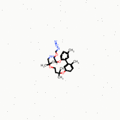 CC1=CCC(OC(C)(C)CCOC(C)(C)CN)C=C1c1cc(C)ccc1OCCOCN=[N+]=[N-]